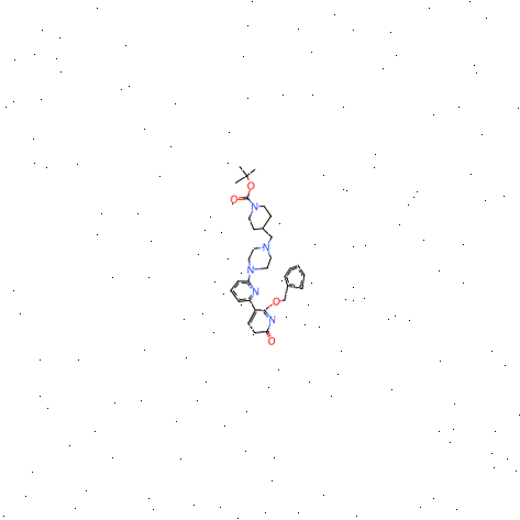 CC(C)(C)OC(=O)N1CCC(CN2CCN(c3cccc(C4=CCC(=O)N=C4OCc4ccccc4)n3)CC2)CC1